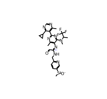 Cc1nc(-c2c(C)ncnc2C2CC2)nc(N(C)C(C)C(F)(F)F)c1/N=C(\C=O)NCc1ccc([S+](C)[O-])cn1